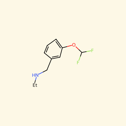 CCNCc1cccc(OC(F)F)c1